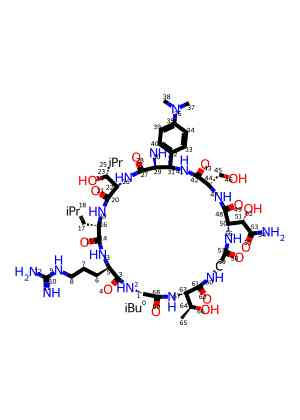 CC[C@H](C)[C@@H]1NC(=O)[C@@H](CCCNC(=N)N)NC(=O)[C@H](CC(C)C)NC(=O)[C@H]([C@H](O)C(C)C)NC(=O)[C@@H](N)C(c2ccc(N(C)C)cc2)NC(=O)[C@H](CO)NC(=O)[C@H]([C@H](O)C(N)=O)NC(=O)CNC(=O)[C@H]([C@H](C)O)NC1=O